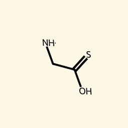 [NH]CC(O)=S